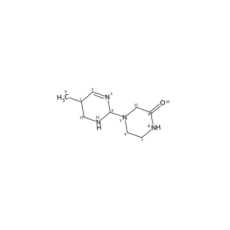 CC1C=NC(N2CCNC(=O)C2)NC1